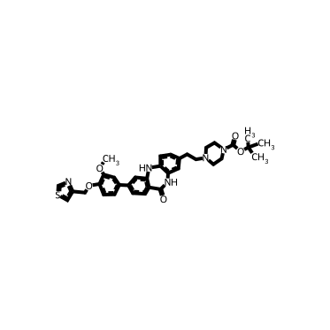 COc1cc(-c2ccc3c(c2)Nc2ccc(CCN4CCN(C(=O)OC(C)(C)C)CC4)cc2NC3=O)ccc1OCc1cscn1